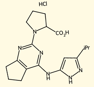 CC(C)c1cc(Nc2nc(N3CCCC3C(=O)O)nc3c2CCC3)[nH]n1.Cl